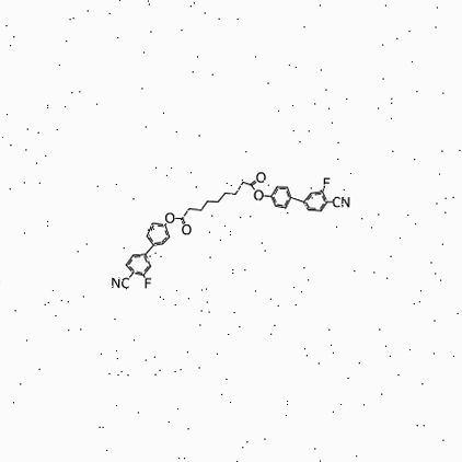 N#Cc1ccc(-c2ccc(OC(=O)CCCCCCCC(=O)Oc3ccc(-c4ccc(C#N)c(F)c4)cc3)cc2)cc1F